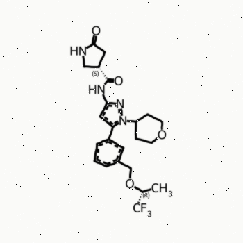 C[C@@H](OCc1cccc(-c2cc(NC(=O)[C@@H]3CNC(=O)C3)nn2C2CCOCC2)c1)C(F)(F)F